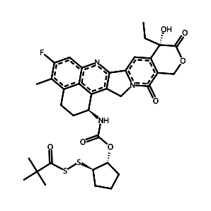 CC[C@@]1(O)C(=O)OCc2c1cc1n(c2=O)Cc2c-1nc1cc(F)c(C)c3c1c2[C@@H](NC(=O)O[C@@H]1CCC[C@H]1SSC(=O)C(C)(C)C)CC3